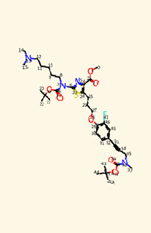 COC(=O)c1nc(N(CCCCCN(C)C)C(=O)OC(C)(C)C)sc1CCCOc1ccc(C#CCN(C)C(=O)OC(C)(C)C)cc1F